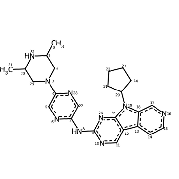 CC1CN(c2cnc(Nc3ncc4c5ccncc5n(C5CCCC5)c4n3)cn2)CC(C)N1